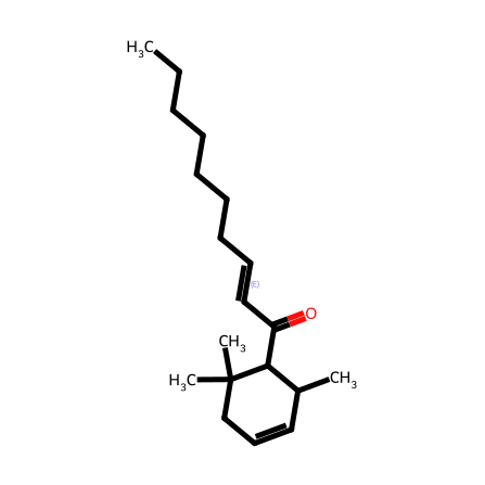 CCCCCCC/C=C/C(=O)C1C(C)C=CCC1(C)C